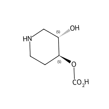 O=C(O)O[C@H]1CCNC[C@@H]1O